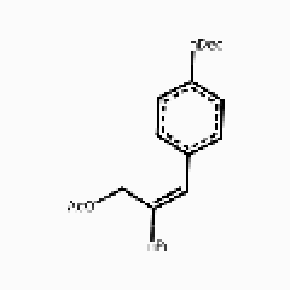 CCCCCCCCCCc1ccc(C=C(CCC)COC(C)=O)cc1